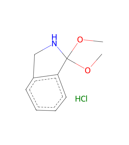 COC1(OC)NCc2ccccc21.Cl